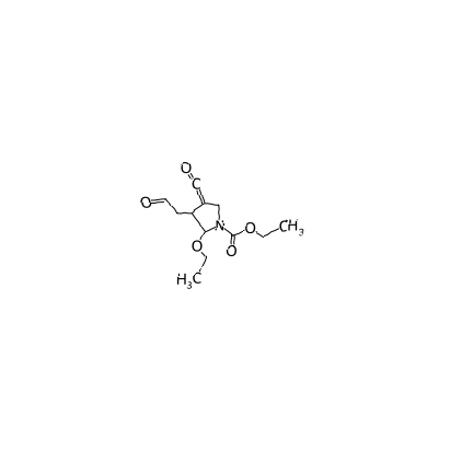 CCOC(=O)N1CC(=C=O)C(CC=O)C1OCC